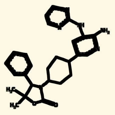 CC1(C)OC(=O)N(C2CCC(c3cnc(N)c(Nc4ncccn4)c3)CC2)C1c1ccccc1